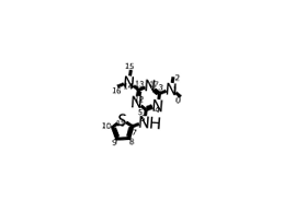 CN(C)c1nc(Nc2cccs2)nc(N(C)C)n1